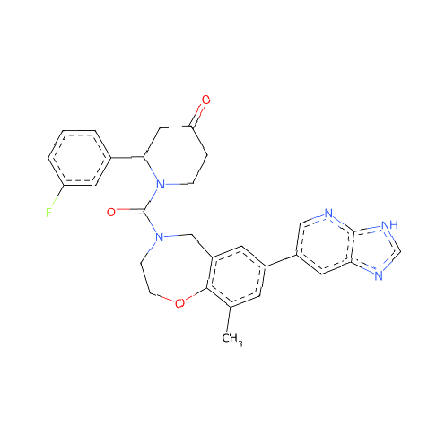 Cc1cc(-c2cnc3[nH]cnc3c2)cc2c1OCCN(C(=O)N1CCC(=O)CC1c1cccc(F)c1)C2